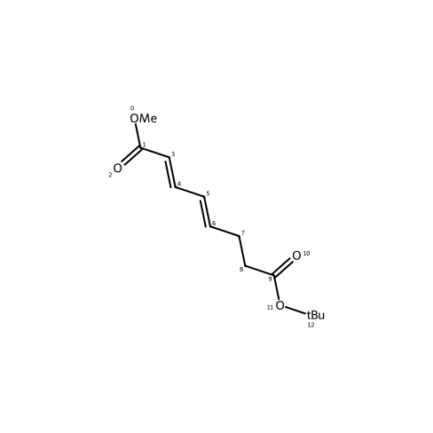 COC(=O)/C=C/C=C/CCC(=O)OC(C)(C)C